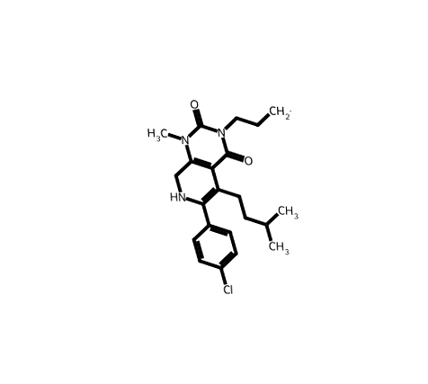 [CH2]CCn1c(=O)c2c(n(C)c1=O)CNC(c1ccc(Cl)cc1)=C2CCC(C)C